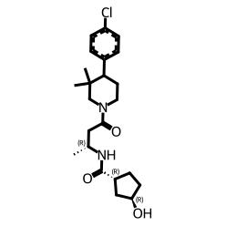 C[C@H](CC(=O)N1CCC(c2ccc(Cl)cc2)C(C)(C)C1)NC(=O)[C@@H]1CC[C@@H](O)C1